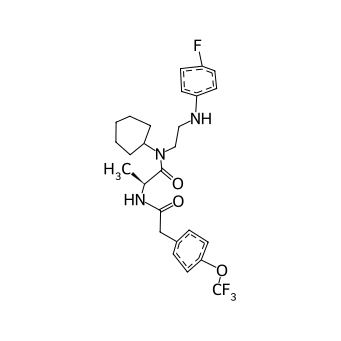 C[C@H](NC(=O)Cc1ccc(OC(F)(F)F)cc1)C(=O)N(CCNc1ccc(F)cc1)C1CCCCC1